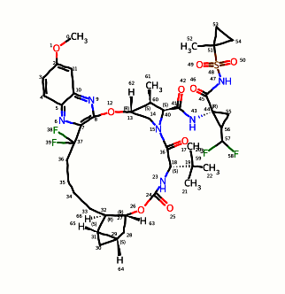 COc1ccc2nc3c(nc2c1)O[C@H]1CN(C(=O)[C@H](C(C)(C)C)NC(=O)O[C@@H]2C[C@@H]4C[C@@H]4[C@H]2CCCCC3(F)F)[C@H](C(=O)N[C@]2(C(=O)NS(=O)(=O)C3(C)CC3)CC2C(F)F)[C@@H]1C